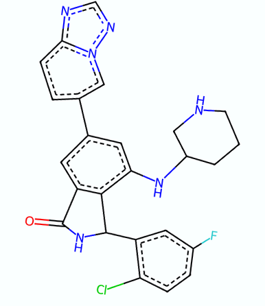 O=C1NC(c2cc(F)ccc2Cl)c2c(NC3CCCNC3)cc(-c3ccc4ncnn4c3)cc21